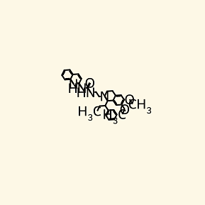 CCC(c1ccccc1)C1c2cc(OC)c(OC)cc2CCN1CCNC(=O)Nc1ccc2ccccc2n1